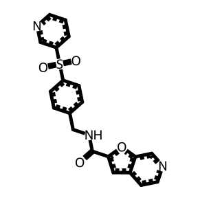 O=C(NCc1ccc(S(=O)(=O)c2cccnc2)cc1)c1cc2ccncc2o1